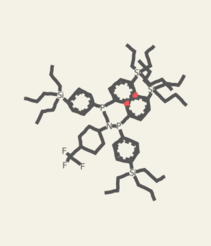 CCC[Si](CCC)(CCC)c1ccc(P(c2ccc([Si](CCC)(CCC)CCC)cc2)N(C2CCC(C(F)(F)F)CC2)P(c2ccc([Si](CCC)(CCC)CCC)cc2)c2ccc([Si](CCC)(CCC)CCC)cc2)cc1